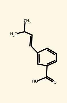 CC(C)C=Cc1cccc(C(=O)O)c1